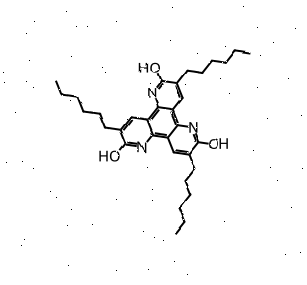 CCCCCCc1cc2c(nc1O)c1cc(CCCCCC)c(O)nc1c1cc(CCCCCC)c(O)nc21